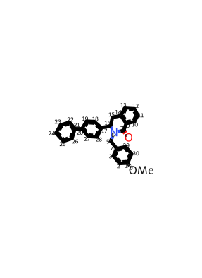 COc1ccc(CN2C(=O)c3ccccc3CC2c2ccc(-c3ccccc3)cc2)cc1